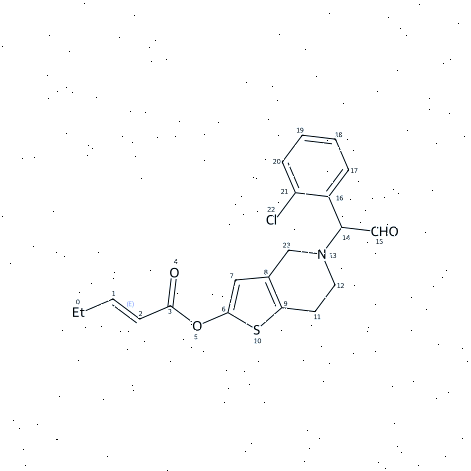 CC/C=C/C(=O)Oc1cc2c(s1)CCN(C(C=O)c1ccccc1Cl)C2